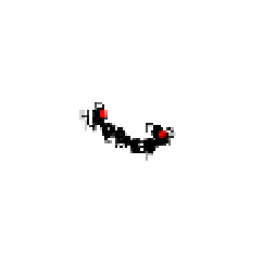 COc1cc(-c2cn(C)c(=O)c3ccc(F)cc23)cc(F)c1CN1CCC(CCC2CCN(c3ccc(NC4CCC(=O)NC4=O)cc3C(F)(F)F)CC2)CC1